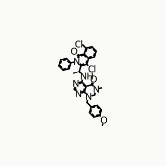 COc1ccc(CN2CN(C)C(=O)c3c(N[C@@H](C)c4c(Cl)c5cccc(Cl)c5c(=O)n4-c4ccccc4)ncnc32)cc1